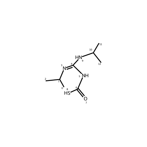 CC(C)/N=C(\NC(=O)S)NC(C)C